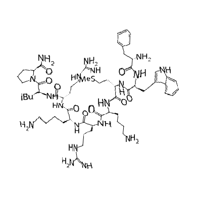 CC[C@H](C)[C@H](NC(=O)[C@H](CCCNC(=N)N)NC(=O)[C@H](CCCCN)NC(=O)[C@H](CCCNC(=N)N)NC(=O)[C@H](CCCCN)NC(=O)[C@H](CCSC)NC(=O)[C@H](Cc1c[nH]c2ccccc12)NC(=O)[C@@H](N)Cc1ccccc1)C(=O)N1CCC[C@H]1C(N)=O